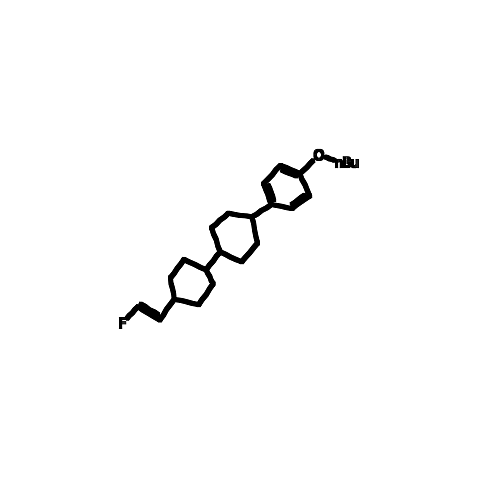 CCCCOc1ccc(C2CCC(C3CCC(C=CF)CC3)CC2)cc1